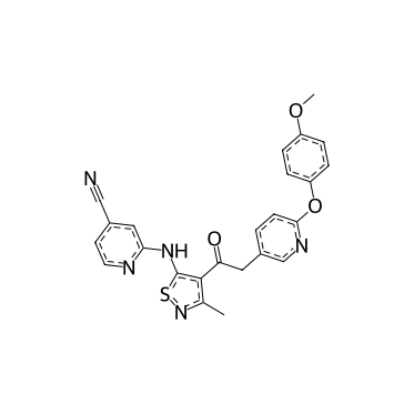 COc1ccc(Oc2ccc(CC(=O)c3c(C)nsc3Nc3cc(C#N)ccn3)cn2)cc1